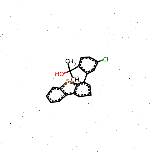 CC(C)(O)c1ccc(Cl)cc1-c1cccc2c1sc1ccccc12